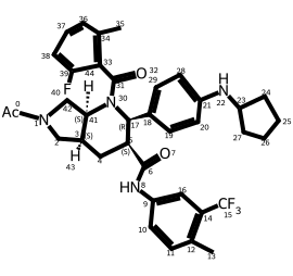 CC(=O)N1C[C@@H]2C[C@H](C(=O)Nc3ccc(C)c(C(F)(F)F)c3)[C@H](c3ccc(NC4CCCC4)cc3)N(C(=O)c3c(C)cccc3F)[C@@H]2C1